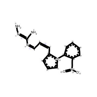 N/N=C(N)/N=C\C=C/c1cccn1-c1ccccc1[N+](=O)[O-]